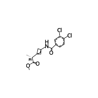 COC(=O)[C@H](C)C12CC(NC(=O)c3ccc(Cl)c(Cl)c3)(C1)C2